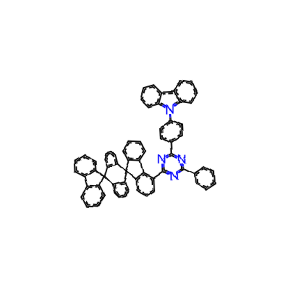 c1ccc(-c2nc(-c3ccc(-n4c5ccccc5c5ccccc54)cc3)nc(-c3cccc4c3-c3ccccc3C43c4ccccc4C4(c5ccccc5-c5ccccc54)c4ccccc43)n2)cc1